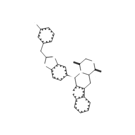 Nc1cccc(CC2Oc3ccc([C@@H]4c5[nH]c6ccccc6c5C[C@@H]5C(=O)NCC(=O)N45)cc3O2)c1